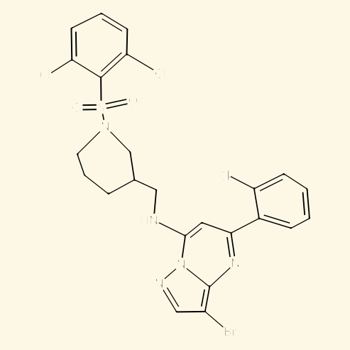 O=S(=O)(c1c(Cl)cccc1Cl)N1CCCC(CNc2cc(-c3ccccc3Cl)nc3c(Br)cnn23)C1